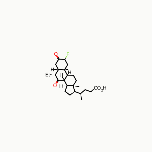 CC[C@H]1C(=O)[C@@H]2[C@H](CC[C@]3(C)[C@@H]([C@H](C)CCC(=O)O)CC[C@@H]23)[C@@]2(C)C[C@H](F)C(=O)C[C@@H]12